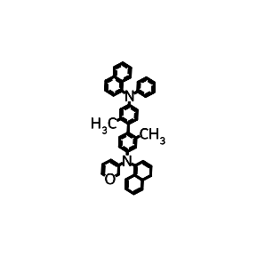 Cc1cc(N(C2=CC=COC2)C2=C3C=CC=CC3CC=C2)ccc1-c1ccc(N(c2ccccc2)c2cccc3ccccc23)cc1C